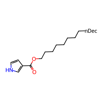 CCCCCCCCCCCCCCCCCCOC(=O)c1cc[nH]c1